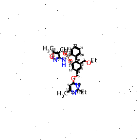 CCOCc1cc(COc2cc(C)nc(CC)n2)ccc1-c1ccccc1S(=O)(=O)Nc1noc(C)c1C